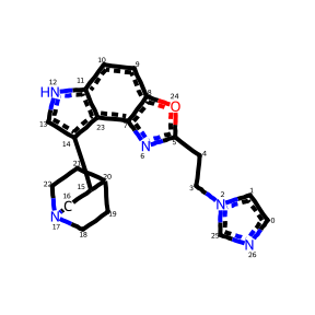 c1cn(CCc2nc3c(ccc4[nH]cc(C5CN6CCC5CC6)c43)o2)cn1